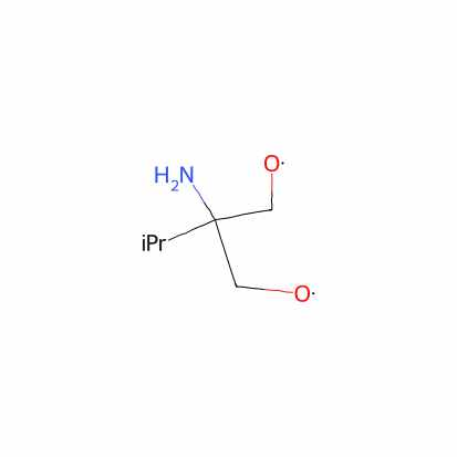 CC(C)C(N)(C[O])C[O]